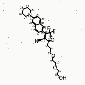 N#C/C(C(=O)CCCOCCOCCO)=C(\c1ccc2cc(N3CCCCC3)ccc2c1)C(F)(F)F